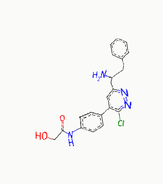 NC(Cc1ccccc1)c1cc(-c2ccc(NC(=O)CO)cc2)c(Cl)nn1